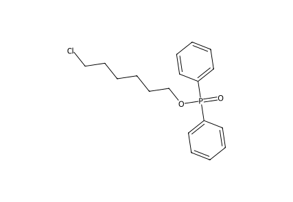 O=P(OCCCCCCCl)(c1ccccc1)c1ccccc1